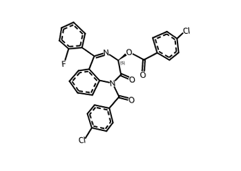 O=C(O[C@@H]1N=C(c2ccccc2F)c2ccccc2N(C(=O)c2ccc(Cl)cc2)C1=O)c1ccc(Cl)cc1